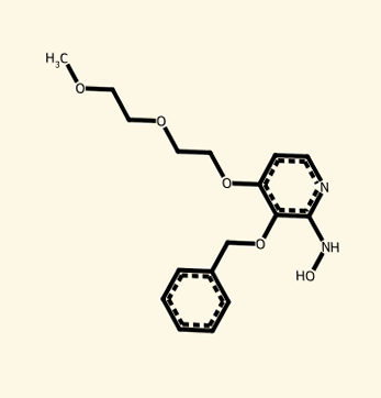 COCCOCCOc1ccnc(NO)c1OCc1ccccc1